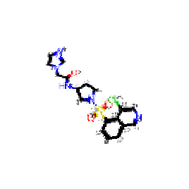 O=C(Cn1ccnc1)N[C@H]1CCN(S(=O)(=O)c2cccc3cncc(Cl)c23)C1